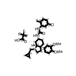 COc1ccc([C@@]23CC[C@@H](NC(=O)Nc4cc(Cl)ccc4C)C[C@@H]2N(CC2CC2)CC3)cc1OC.O=C(O)C(F)(F)F